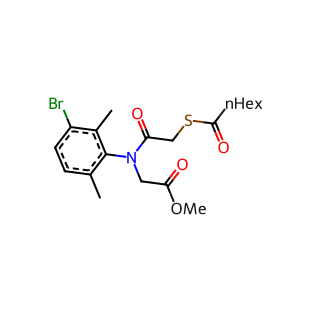 CCCCCCC(=O)SCC(=O)N(CC(=O)OC)c1c(C)ccc(Br)c1C